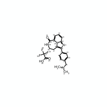 CN(C)Cc1ccc(-c2nc3cccc4n3c2CCNC4=O)cc1.O=C(O)C(F)(F)F